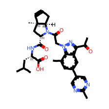 CC(=O)c1nn(CC(=O)N2[C@H](C(=O)N[C@@H](CC(C)C)C(=O)O)C[C@@]3(C)C#CC[C@@H]23)c2c(C)cc(-c3cnc(C)nc3)cc12